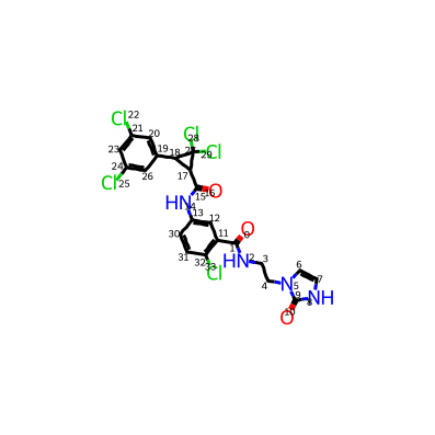 O=C(NCCn1cc[nH]c1=O)c1cc(NC(=O)C2C(c3cc(Cl)cc(Cl)c3)C2(Cl)Cl)ccc1Cl